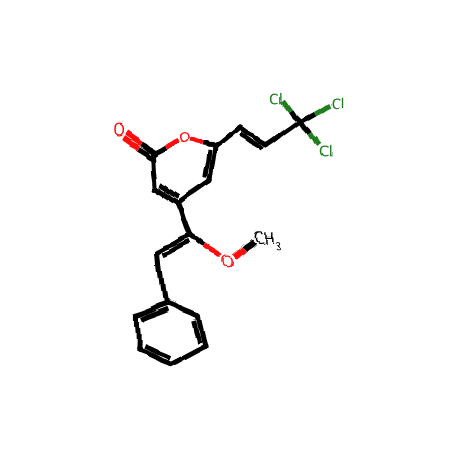 COC(=Cc1ccccc1)c1cc(C=CC(Cl)(Cl)Cl)oc(=O)c1